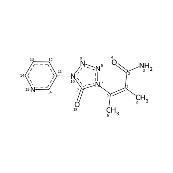 CC(C(N)=O)=C(C)n1nnn(-c2cccnc2)c1=O